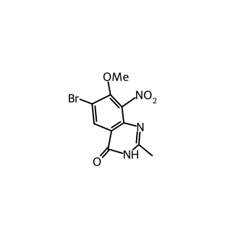 COc1c(Br)cc2c(=O)[nH]c(C)nc2c1[N+](=O)[O-]